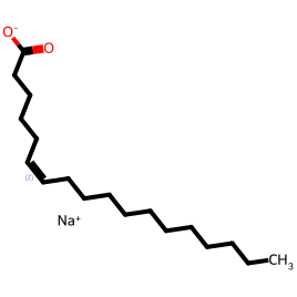 CCCCCCCCCCC/C=C\CCCCC(=O)[O-].[Na+]